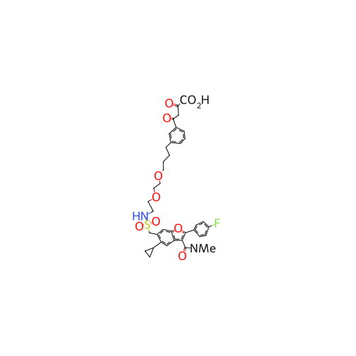 CNC(=O)c1c(-c2ccc(F)cc2)oc2cc(CS(=O)(=O)NCCOCCOCCCCc3cccc(C(=O)CC(=O)C(=O)O)c3)c(C3CC3)cc12